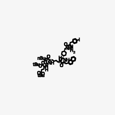 CCCCOC(=O)[C@H](CCCCNC(=O)[C@H](Cc1ccc2ccccc2c1)NC(=O)[C@H]1CC[C@H](CNC(=O)[C@@H](N)Cc2ccc(I)cc2)CC1)NC(=O)N[C@@H](CCC(=O)OC(C)(C)C)C(=O)OC(C)(C)C